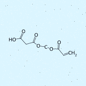 C=CC(=O)OCOC(=O)CC(=O)O